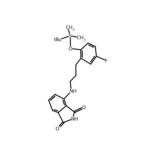 CC(C)(C)[Si](C)(C)Oc1ccc(F)cc1CCCNc1cccc2c1C(=O)NC2=O